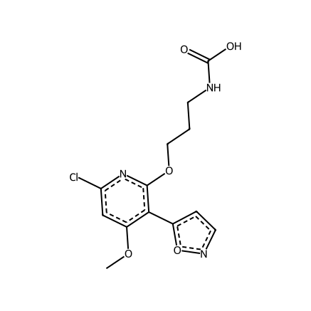 COc1cc(Cl)nc(OCCCNC(=O)O)c1-c1ccno1